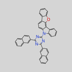 c1ccc2cc(-c3nc(-c4ccc5ccccc5c4)nc(-n4c5ccccc5c5c6oc7ccccc7c6ccc54)n3)ccc2c1